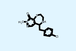 Cn1ncc2c(c1=O)SCCNC2Cc1ccc(Cl)cc1